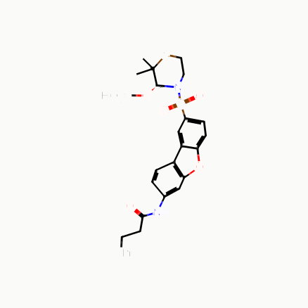 CC(C)CCC(=O)Nc1ccc2c(c1)oc1ccc(S(=O)(=O)N3CCSC(C)(C)[C@@H]3OC(=O)O)cc12